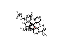 COC(=O)c1cnc(Nc2cc(NC(C)=O)c(N(C)CCN(C)C)cc2OC)nc1Nc1ccccc1-c1ccn(C)n1